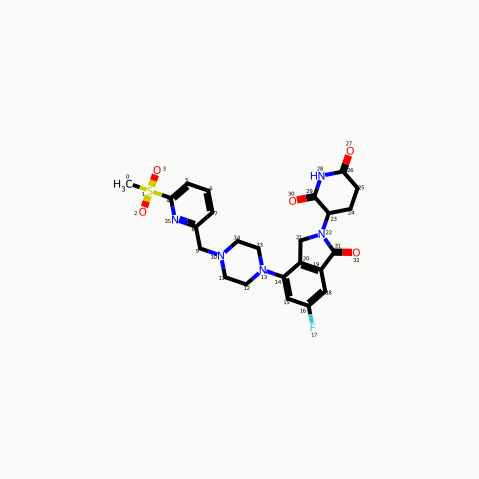 CS(=O)(=O)c1cccc(CN2CCN(c3cc(F)cc4c3CN(C3CCC(=O)NC3=O)C4=O)CC2)n1